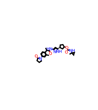 Cc1cc(N2CCCC2=O)ccc1C(C)C(=O)Nc1cc([C@H]2CC[C@@H](OC(=O)NC3(C)CC3)C2)[nH]n1